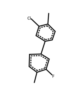 Cc1ccc(-c2ccc(C)c(Cl)c2)cc1F